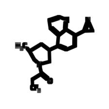 CC1CC(c2ccc(C3=NC3)c3ncccc23)CN(C(=O)CC(F)(F)F)C1